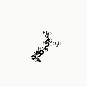 C=CCP(=O)(CC=C)C(Cc1ccc(NC(=O)CC[C@H](NC(=O)OCOC(=O)CC)C(=O)O)cc1)P(=O)(CC=C)CC=C